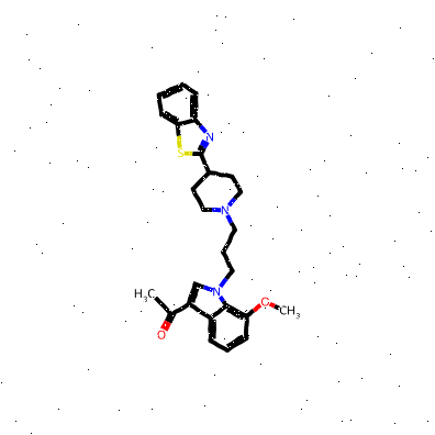 COc1cccc2c(C(C)=O)cn(CCCN3CCC(c4nc5ccccc5s4)CC3)c12